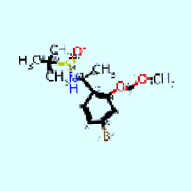 COCOc1cc(Br)ccc1[C@H](C)N[S+]([O-])C(C)(C)C